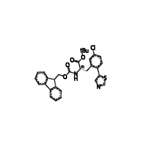 CC(C)(C)OC(=O)[C@H](Cc1cc(Cl)ccc1-c1cncs1)NC(=O)OCC1c2ccccc2-c2ccccc21